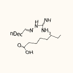 CCCCCCCC(=O)O.CCCCCCCCCCC=NNC(=N)N